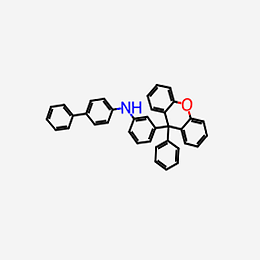 c1ccc(-c2ccc(Nc3cccc(C4(c5ccccc5)c5ccccc5Oc5ccccc54)c3)cc2)cc1